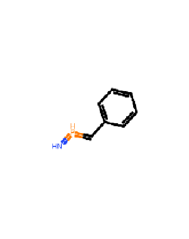 N=[PH]=Cc1ccccc1